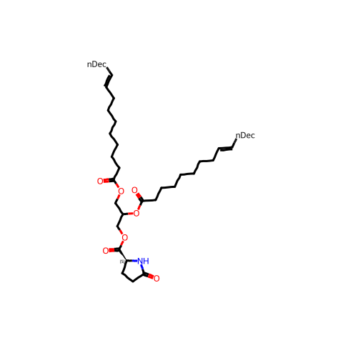 CCCCCCCCCCC=CCCCCCCCC(=O)OCC(COC(=O)[C@@H]1CCC(=O)N1)OC(=O)CCCCCCCC=CCCCCCCCCCC